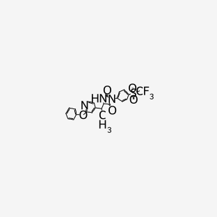 CC(c1ccnc(Oc2ccccc2)c1)C1NC(=O)N(c2ccc(S(=O)(=O)C(F)(F)F)cc2)C1=O